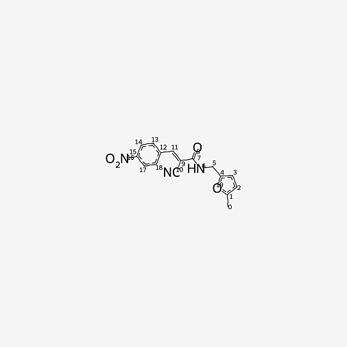 Cc1ccc(CNC(=O)/C(C#N)=C/c2ccc([N+](=O)[O-])cc2)o1